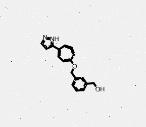 OCc1cccc(COC2=CC=C(c3ccn[nH]3)C=C=C2)c1